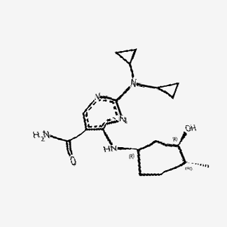 C[C@@H]1CC[C@@H](Nc2nc(N(C3CC3)C3CC3)ncc2C(N)=O)C[C@H]1O